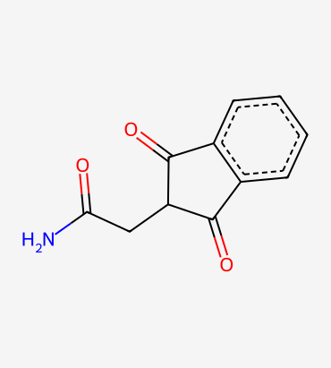 NC(=O)CC1C(=O)c2ccccc2C1=O